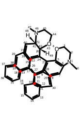 CN1CCOc2c1ccc(P(c1ccccc1)c1ccccc1)c2C1=C(P(c2ccccc2)c2ccccc2)C=C[C@H]2[C@@H]1OCCN2C